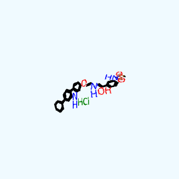 CS(=O)(=O)Nc1cccc(C(O)CNCCOc2ccc3c(c2)[nH]c2cc(C4CCCCC4)ccc23)c1.Cl